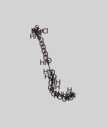 Cc1sc2c(c1C)C(c1ccc(Cl)cc1)=N[C@@H](CC(=O)Nc1ccc(OCCOCCOCCOCCOCCOCCC(=O)NCCCCCCCNC(=O)CCNC(=O)c3nc(NC(=O)CCNC(=O)c4cc(CC(=O)c5nc(NC(=O)CCNC(=O)c6cc(NC(=O)c7nccn7C)cn6C)cn5C)cn4C)cn3C)cc1)c1nnc(C)n1-2